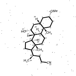 CO[C@@H]1CC[C@@]2(C)[C@@H](C1)C[C@@H](O)[C@@H]1[C@@H]2CC[C@]2(C)C([C@H](C)CCC#N)CC[C@@H]12